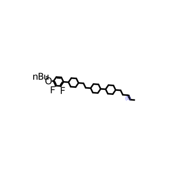 C/C=C/CCC1CCC(C2CCC(CCC3CCC(c4ccc(OCCCC)c(F)c4F)CC3)CC2)CC1